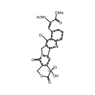 CCc1c2c(nc3cccc(C=C(NC(C)=O)C(=O)OC)c13)-c1cc3c(c(=O)n1C2)COC(=O)[C@]3(O)CC